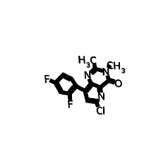 Cc1nc2c(-c3ccc(F)cc3F)cc(Cl)nc2c(=O)n1C